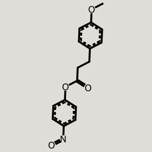 COc1ccc(CCC(=O)Oc2ccc(N=O)cc2)cc1